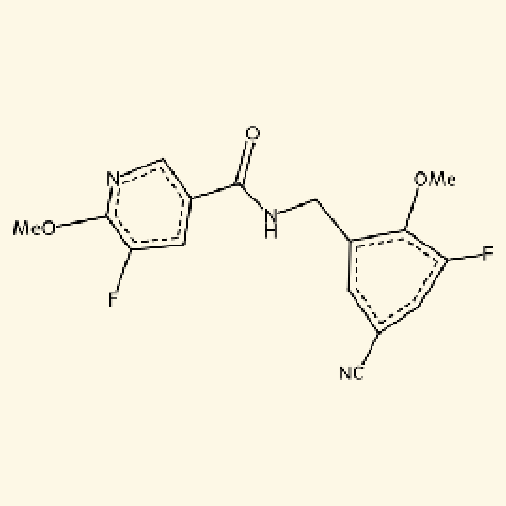 COc1ncc(C(=O)NCc2cc(C#N)cc(F)c2OC)cc1F